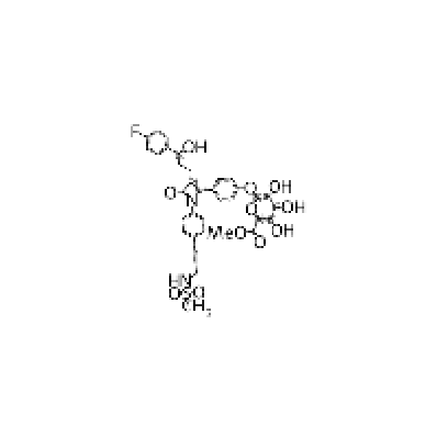 COC(=O)[C@H]1O[C@@H](Oc2ccc([C@@H]3[C@@H](CC[C@H](O)c4ccc(F)cc4)C(=O)N3c3ccc(C#CCNS(C)(=O)=O)cc3)cc2)[C@H](O)[C@@H](O)[C@@H]1O